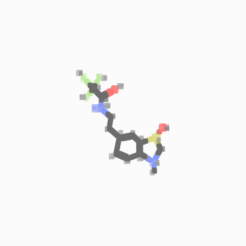 CN1C[S+]([O-])c2cc(CCNC(=O)C(F)(F)F)ccc21